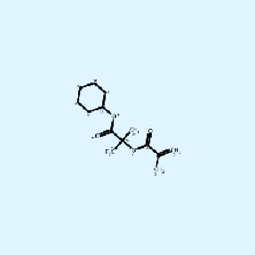 C=C(C)C(=O)OC(C(=O)OC1CCCCC1)(C(F)(F)F)C(F)(F)F